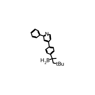 BC(C)(CC(C)(C)C)c1ccc(-c2ccnc(-c3ccccc3)c2)cc1